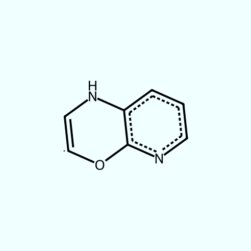 [C]1=CNc2cccnc2O1